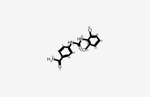 NC(=O)c1ccc(NC(=O)Nc2c(Cl)cccc2Cl)cc1